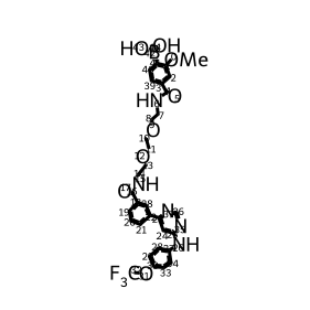 COc1cc(C(=O)NCCOCCOCCNC(=O)c2cccc(-c3cc(Nc4ccc(OC(F)(F)F)cc4)ncn3)c2)ccc1B(O)O